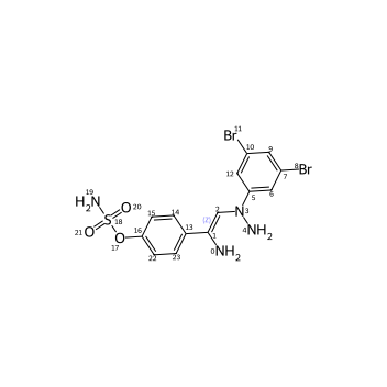 N/C(=C\N(N)c1cc(Br)cc(Br)c1)c1ccc(OS(N)(=O)=O)cc1